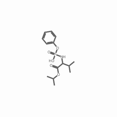 CC(C)OC(=O)C(NP(=O)(O)Oc1ccccc1)C(C)C